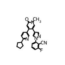 Cn1cc(-c2cnn(-c3cccc(F)c3C#N)c2)c(-c2ccc(C3CCCC3)nc2)cc1=O